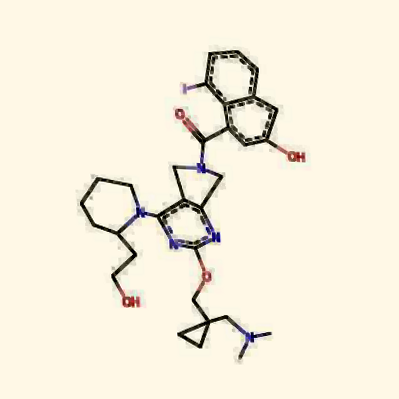 CN(C)CC1(COc2nc3c(c(N4CCCCC4CCO)n2)CN(C(=O)c2cc(O)cc4cccc(I)c24)C3)CC1